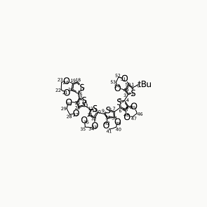 CC(C)(C)c1sc(-c2sc(-c3sc(-c4sc(-c5sc(-c6scc7c6OCCO7)c6c5OCCO6)c5c4OCCO5)c4c3OCCO4)c3c2OCCO3)c2c1OCCO2